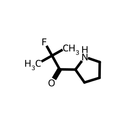 CC(C)(F)C(=O)C1CCCN1